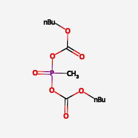 CCCCOC(=O)OP(C)(=O)OC(=O)OCCCC